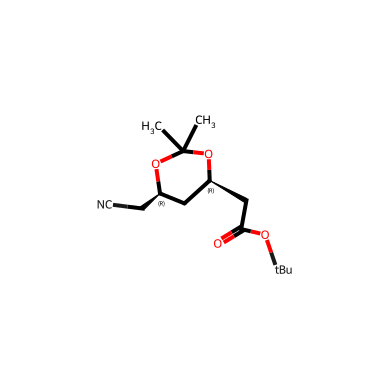 CC(C)(C)OC(=O)C[C@H]1C[C@@H](CC#N)OC(C)(C)O1